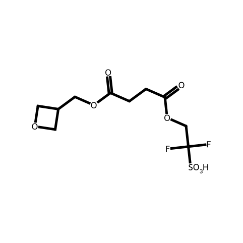 O=C(CCC(=O)OCC(F)(F)S(=O)(=O)O)OCC1COC1